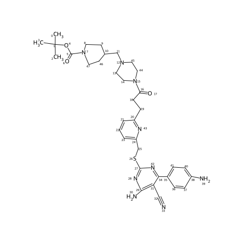 CC(C)(C)OC(=O)N1CCC(CN2CCN(C(=O)CCc3cccc(CSc4nc(N)c(C#N)c(-c5ccc(N)cc5)n4)n3)CC2)CC1